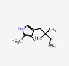 CCCCCCCCCCC(C)(C)Cc1c[nH]c(C(=O)O)c1F